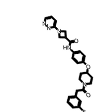 O=C(Nc1ccc(OC2CCN(C(=O)Cc3cccc(F)c3)CC2)cc1)C1CN(c2cccnn2)C1